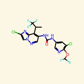 CC(c1c(NC(=O)Nc2cnc(OC(F)F)c(Cl)c2)cnn2cc(Cl)nc12)C(F)(F)F